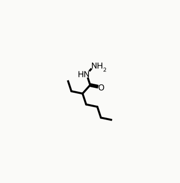 CCCCC(CC)C(=O)NN